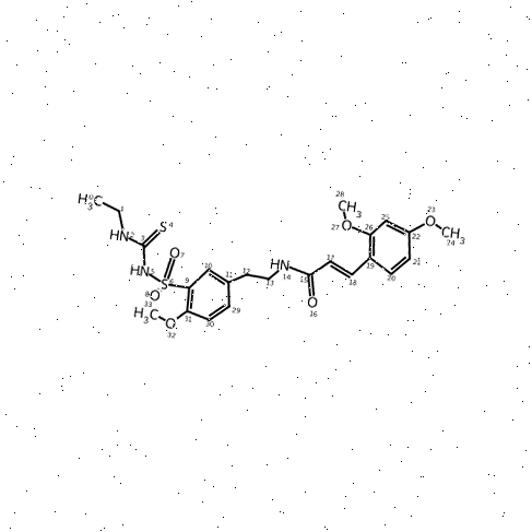 CCNC(=S)NS(=O)(=O)c1cc(CCNC(=O)C=Cc2ccc(OC)cc2OC)ccc1OC